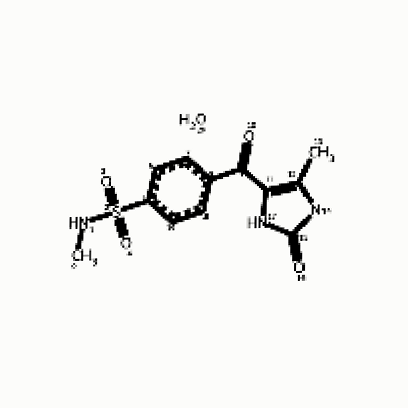 CNS(=O)(=O)c1ccc(C(=O)C2=C(C)[N]C(=O)N2)cc1.O